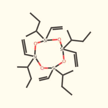 C=C[Si]1(C(C)CC)O[Si](C=C)(C(C)CC)O[Si](C=C)(C(C)CC)O[Si](C=C)(C(C)CC)O1